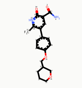 NC(=O)c1cc(-c2ccc(OCC3CCCOC3)cc2)c(C(F)(F)F)[nH]c1=O